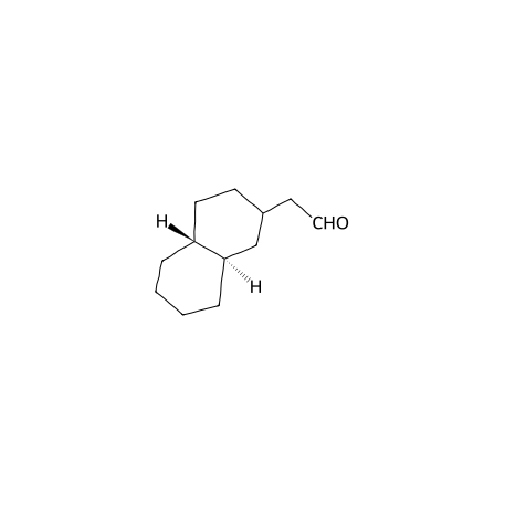 O=CCC1CC[C@H]2CCCC[C@@H]2C1